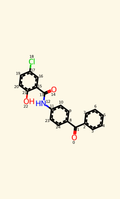 O=C(c1ccccc1)c1ccc(NC(=O)c2cc(Cl)ccc2O)cc1